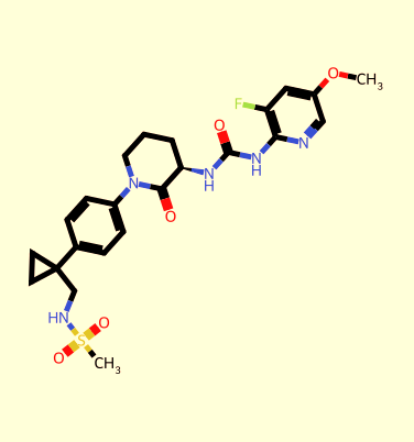 COc1cnc(NC(=O)N[C@@H]2CCCN(c3ccc(C4(CNS(C)(=O)=O)CC4)cc3)C2=O)c(F)c1